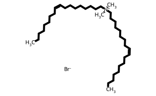 CCCCCCCC/C=C\CCCCCCCC[N+](C)(C)CCCCCCCC/C=C\CCCCCCCC.[Br-]